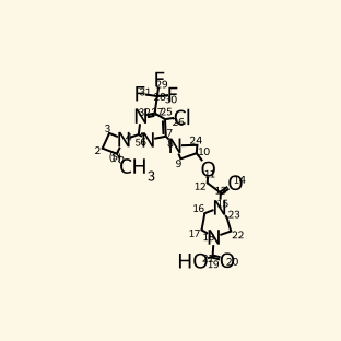 C[C@H]1CCN1c1nc(N2CC(OCC(=O)N3CCN(C(=O)O)CC3)C2)c(Cl)c(C(F)(F)F)n1